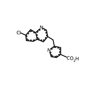 O=C(O)c1ccnc(Cc2cnc3cc(Cl)ccc3c2)c1